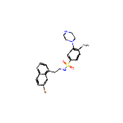 COc1ccc(S(=O)(=O)NCCc2cccc3ccc(Br)cc23)cc1N1CCNCC1